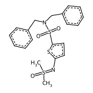 CS(C)(=O)=Nc1ccc(S(=O)(=O)N(Cc2ccccc2)Cc2ccccc2)s1